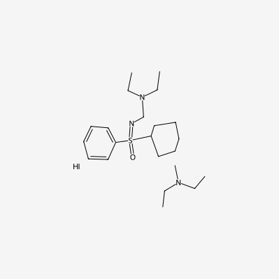 CCN(C)CC.CCN(CC)CN=S(=O)(c1ccccc1)C1CCCCC1.I